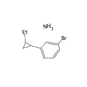 CCC1CC1c1cccc(Br)c1.N